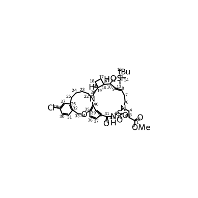 COC(=O)CCN1CC/C=C/C(O[Si](C)(C)C(C)(C)C)[C@@H]2CC[C@H]2CN2CCCCc3cc(Cl)ccc3COc3ccc(cc32)C(=O)NS1(=O)=O